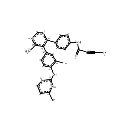 CCC#CC(=O)Nc1ccc(-c2ncnc(N)c2-c2ccc(Oc3nccc(C)n3)c(F)c2)cc1